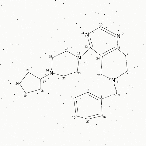 c1ccc(CN2CCc3ncnc(N4CCN(C5CCCC5)CC4)c3C2)cc1